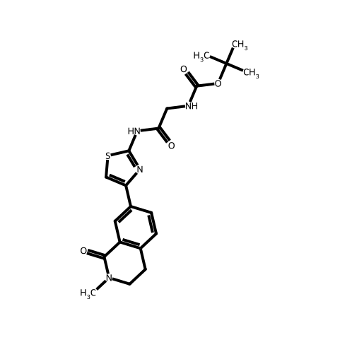 CN1CCc2ccc(-c3csc(NC(=O)CNC(=O)OC(C)(C)C)n3)cc2C1=O